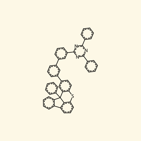 c1ccc(-c2nc(-c3ccccc3)nc(-c3cccc(-c4cccc(-c5ccc6c(c5)C5(c7ccccc7)c7ccccc7-c7cccc(c75)S6)c4)c3)n2)cc1